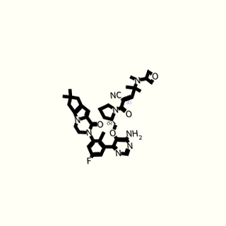 Cc1c(-c2ncnc(N)c2OC[C@@H]2CCCN2C(=O)/C(C#N)=C/C(C)(C)N(C)C2COC2)cc(F)cc1N1CCn2c(cc3c2CC(C)(C)C3)C1=O